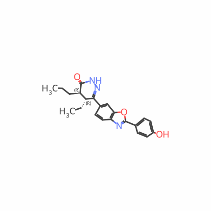 CCC[C@H]1C(=O)NN=C(c2ccc3nc(-c4ccc(O)cc4)oc3c2)[C@@H]1CC